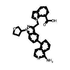 Nc1nccc2c(-c3ccc4c(c3)c(Cn3ccc5cccc(C(=O)O)c53)nn4C3CCOC3)cccc12